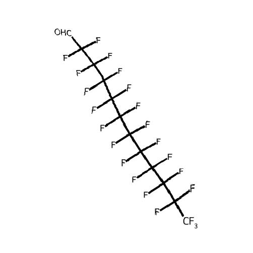 O=CC(F)(F)C(F)(F)C(F)(F)C(F)(F)C(F)(F)C(F)(F)C(F)(F)C(F)(F)C(F)(F)C(F)(F)C(F)(F)F